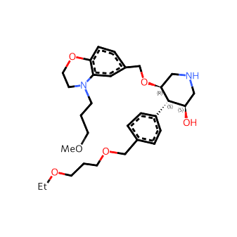 CCOCCCOCc1ccc([C@H]2[C@H](O)CNC[C@@H]2OCc2ccc3c(c2)N(CCCOC)CCO3)cc1